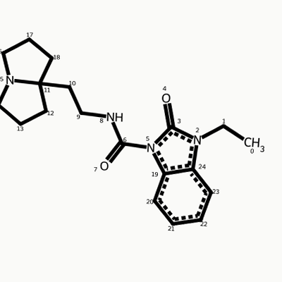 CCn1c(=O)n(C(=O)NCCC23CCCN2CCC3)c2ccccc21